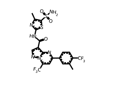 Cc1cc(-c2cc(C(F)(F)F)n3ncc(C(=O)Nc4nc(C)c(S(N)(=O)=O)s4)c3n2)ccc1C(F)(F)F